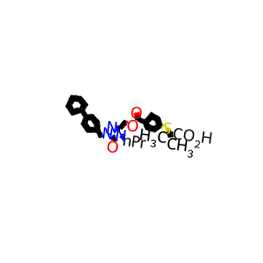 CCCn1c(COC(=O)c2ccc(SC(C)(C)C(=O)O)cc2)nn(Cc2ccc(-c3ccccc3)cc2)c1=O